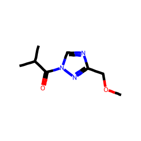 COCc1ncn(C(=O)C(C)C)n1